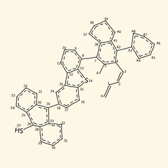 C=C/C=C\c1c(C)c(-c2cccc3c2sc2ccc(-c4c5ccccc5c(S)c5ccccc45)cc23)c2ccccc2c1-c1ccccc1